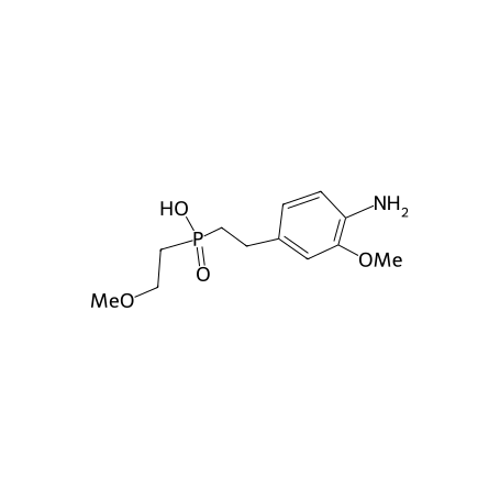 COCCP(=O)(O)CCc1ccc(N)c(OC)c1